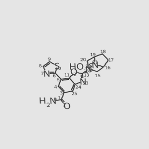 NC(=O)c1cc(-c2nccs2)c2oc(N3CC4CCC(C3)N4C(=O)O)nc2c1